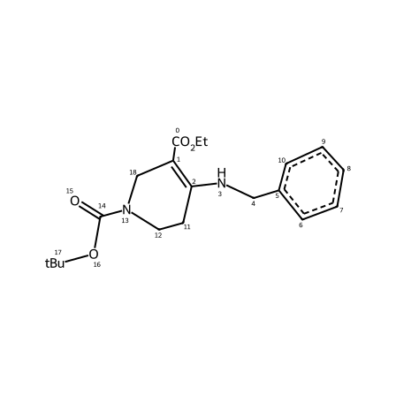 CCOC(=O)C1=C(NCc2ccccc2)CCN(C(=O)OC(C)(C)C)C1